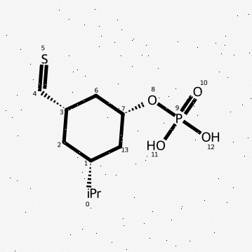 CC(C)[C@@H]1C[C@H](C=S)C[C@H](OP(=O)(O)O)C1